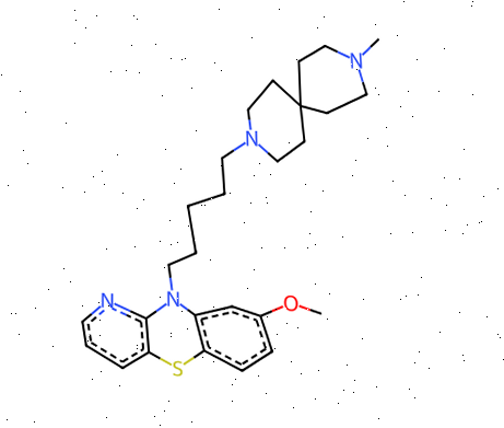 COc1ccc2c(c1)N(CCCCCN1CCC3(CCN(C)CC3)CC1)c1ncccc1S2